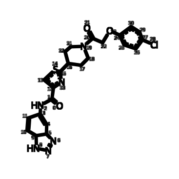 O=C(NC1=CC2N=NNC2C=C1)c1csc(C2CCN(C(=O)COc3ccc(Cl)cc3)CC2)n1